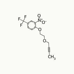 CC#CCOCCOc1ccc(C(F)(F)F)cc1[N+](=O)[O-]